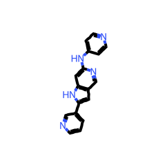 c1cncc(-c2cc3cnc(Nc4ccncc4)cc3[nH]2)c1